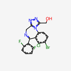 OCc1nnc2n1-c1ccc(Br)c(Cl)c1C(c1c(F)cccc1F)=NC2